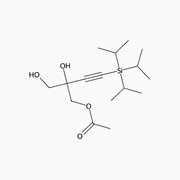 CC(=O)OCC(O)(C#C[Si](C(C)C)(C(C)C)C(C)C)CO